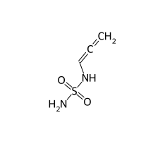 C=C=CNS(N)(=O)=O